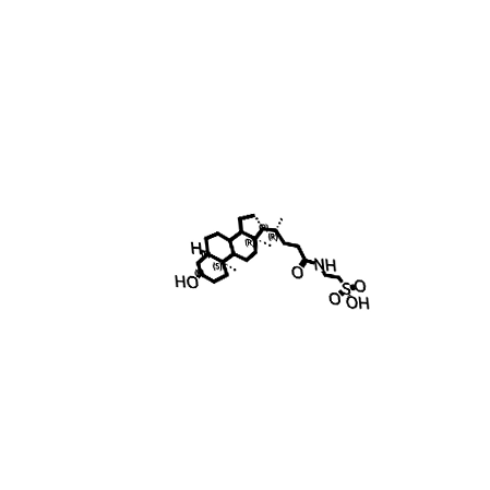 C[C@H](CCC(=O)NCCS(=O)(=O)O)[C@H]1CCC2C3CC[C@@H]4C[C@H](O)CC[C@]4(C)C3CC[C@@]21C